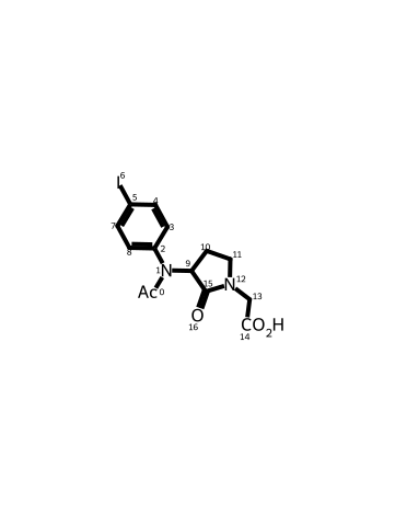 CC(=O)N(c1ccc(I)cc1)C1CCN(CC(=O)O)C1=O